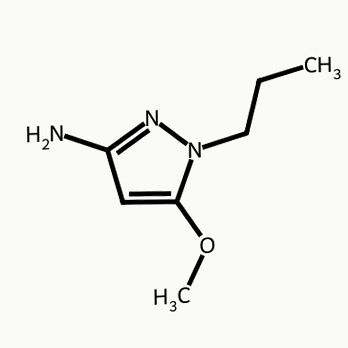 CCCn1nc(N)cc1OC